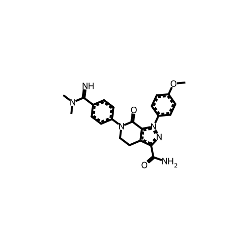 COc1ccc(-n2nc(C(N)=O)c3c2C(=O)N(c2ccc(C(=N)N(C)C)cc2)CC3)cc1